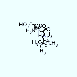 COC(=O)C(/C=C/C1C(C)(C)SC1(C)C)NC(=O)[C@@H](N)CC(=O)O